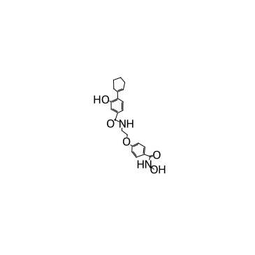 O=C(NO)c1ccc(OCCNC(=O)c2ccc(C3=CCCCC3)c(O)c2)cc1